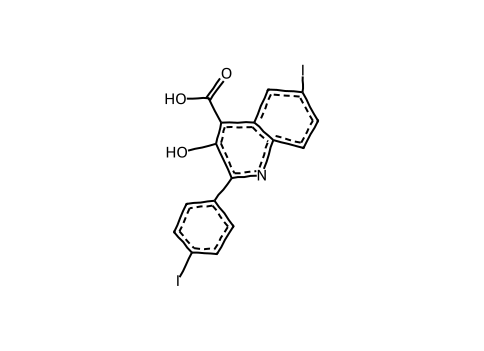 O=C(O)c1c(O)c(-c2ccc(I)cc2)nc2ccc(I)cc12